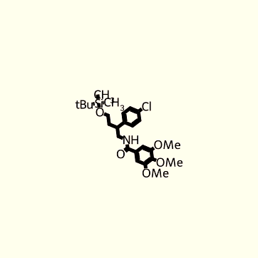 COc1cc(C(=O)NCC(CCO[Si](C)(C)C(C)(C)C)c2ccc(Cl)cc2)cc(OC)c1OC